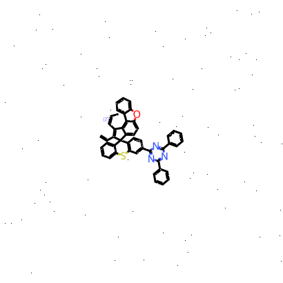 C=CC1=C(/C=C\C)c2c(ccc3oc4ccccc4c23)C12c1ccccc1Sc1cc(-c3nc(-c4ccccc4)nc(-c4ccccc4)n3)ccc12